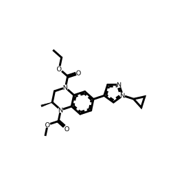 CCOC(=O)N1C[C@H](C)N(C(=O)OC)c2ccc(-c3cnn(C4CC4)c3)cc21